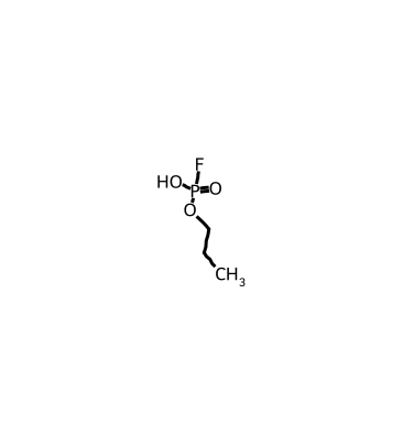 CCCOP(=O)(O)F